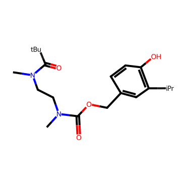 CC(C)c1cc(COC(=O)N(C)CCN(C)C(=O)C(C)(C)C)ccc1O